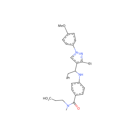 CCc1nn(-c2ccc(OC)cc2)cc1C(CC(C)C)Nc1ccc(C(=O)N(C)CCC(=O)O)cc1